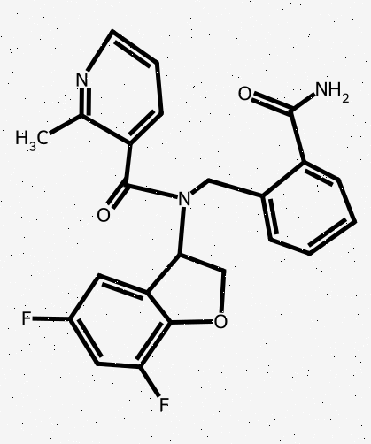 Cc1ncccc1C(=O)N(Cc1ccccc1C(N)=O)C1COc2c(F)cc(F)cc21